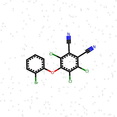 N#Cc1c(Cl)c(Cl)c(Oc2ccccc2Br)c(Cl)c1C#N